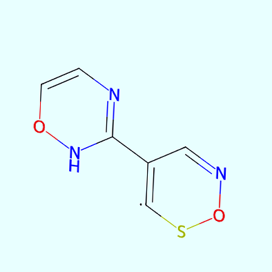 [C]1=C(C2=NC=CON2)C=NOS1